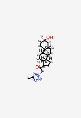 Cc1nnn(CC(=O)[C@@H]2CC[C@H]3[C@@H]4CC[C@H]5C[C@](C)(O)CC[C@]5(C)[C@H]4CC[C@]23C)n1